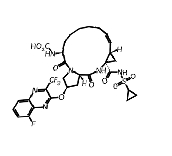 O=C(O)N[C@H]1CCCCC/C=C\[C@@H]2C[C@@]2(C(=O)NS(=O)(=O)C2CC2)NC(=O)[C@@H]2C[C@@H](Oc3nc4c(F)cccc4nc3C(F)(F)F)CN2C1=O